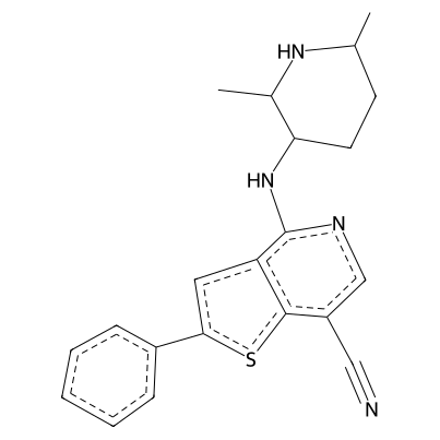 CC1CCC(Nc2ncc(C#N)c3sc(-c4ccccc4)cc23)C(C)N1